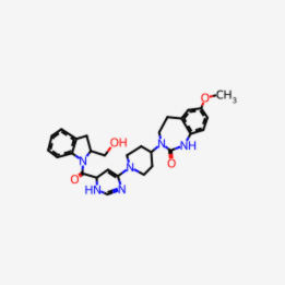 COc1ccc2c(c1)CCN(C1CCN(C3=CC(C(=O)N4c5ccccc5CC4CO)NC=N3)CC1)C(=O)N2